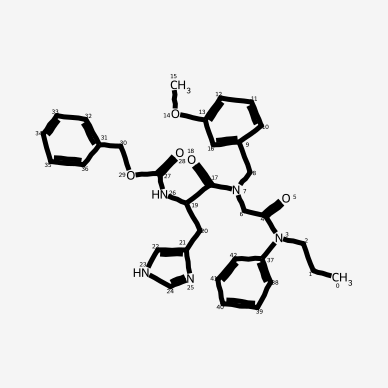 CCCN(C(=O)CN(Cc1cccc(OC)c1)C(=O)C(Cc1c[nH]cn1)NC(=O)OCc1ccccc1)c1ccccc1